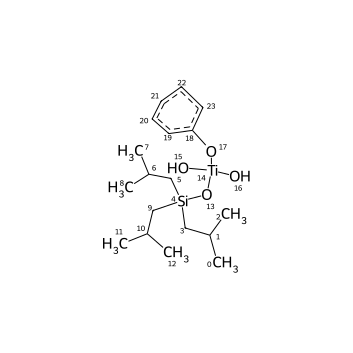 CC(C)C[Si](CC(C)C)(CC(C)C)[O][Ti]([OH])([OH])[O]c1ccccc1